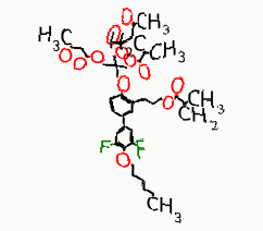 C=C(C)C(=O)OCCCc1cc(-c2cc(F)c(OCCCCCC)c(F)c2)ccc1OCC(COC(=O)CC(C)=O)(COC(=O)CC(C)=O)COC(=O)C(=C)C